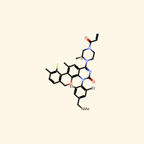 C=CC(=O)N1CCN(c2nc(=O)n(-c3c(CC)cc(CNC)cc3CC)c3c4c(c(C)cc23)-c2c(ccc(C)c2F)CO4)[C@@H](C)C1